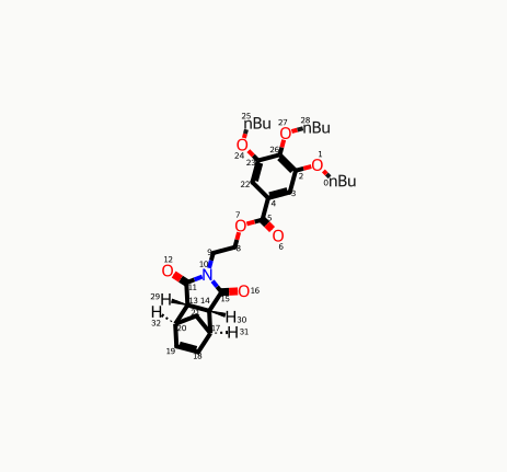 CCCCOc1cc(C(=O)OCCN2C(=O)[C@@H]3[C@H](C2=O)[C@H]2C=C[C@@H]3C2)cc(OCCCC)c1OCCCC